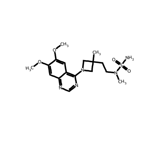 COc1cc2ncnc(N3CC(C)(CCN(C)S(N)(=O)=O)C3)c2cc1OC